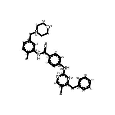 Cc1ccc(CN2CCOCC2)cc1NC(=O)c1ccc(Nc2ncc(C)c(Cc3ccccc3)n2)cc1